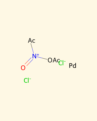 CC(=O)O[N+](=O)C(C)=O.[Cl-].[Cl-].[Pd]